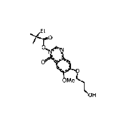 CCC(C)(C)C(=O)On1cnc2cc(OCCCO)c(OC)cc2c1=O